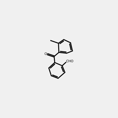 Cc1ccccc1C(=O)c1ccccc1C=O